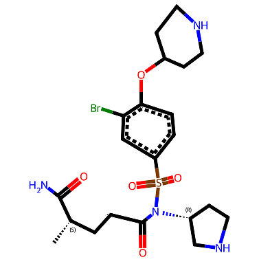 C[C@@H](C[CH]C(=O)N([C@@H]1CCNC1)S(=O)(=O)c1ccc(OC2CCNCC2)c(Br)c1)C(N)=O